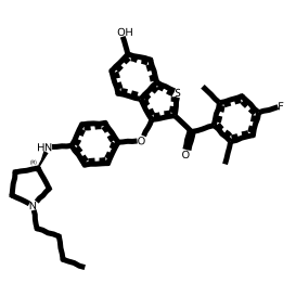 CCCCN1CC[C@@H](Nc2ccc(Oc3c(C(=O)c4c(C)cc(F)cc4C)sc4cc(O)ccc34)cc2)C1